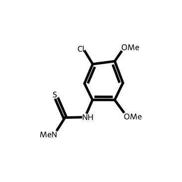 CNC(=S)Nc1cc(Cl)c(OC)cc1OC